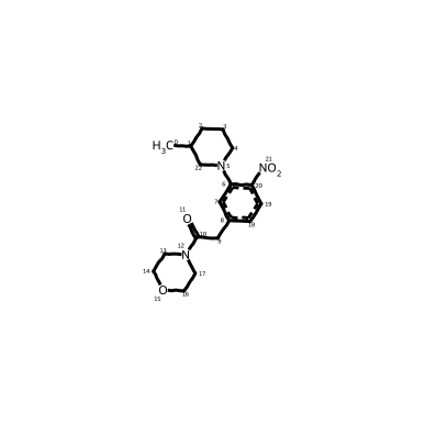 CC1CCCN(c2cc(CC(=O)N3CCOCC3)ccc2[N+](=O)[O-])C1